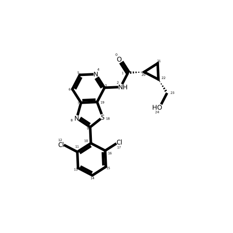 O=C(Nc1nccc2nc(-c3c(Cl)cccc3Cl)sc12)[C@@H]1C[C@@H]1CO